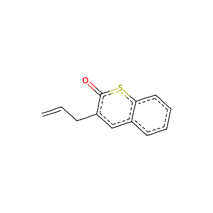 C=CCc1cc2ccccc2sc1=O